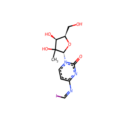 CC1(O)[C@@H](n2ccc(/N=C\I)nc2=O)O[C@H](CO)[C@@H]1O